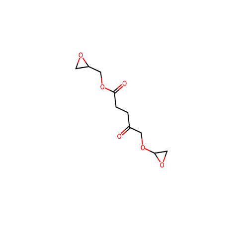 O=C(CCC(=O)OCC1CO1)COC1CO1